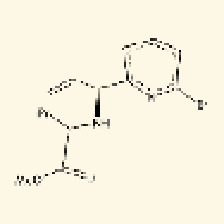 C=C[C@H](NC(C(=O)OC)C(C)C)c1cccc(Br)n1